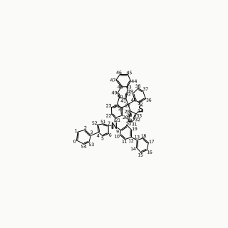 c1ccc(-c2ccc(N(c3ccc(-c4ccccc4)cc3)c3ccc4c(c3)C3(c5ccccc5Sc5ccccc53)c3cc5ccccc5cc3-4)cc2)cc1